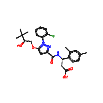 Cc1ccc([C@H](CC(=O)O)NC(=O)c2cc(OC[C@@H](O)C(C)(C)C)n(-c3ccccc3F)n2)c(C)c1